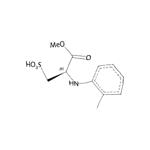 COC(=O)[C@H](CS(=O)(=O)O)Nc1ccccc1C